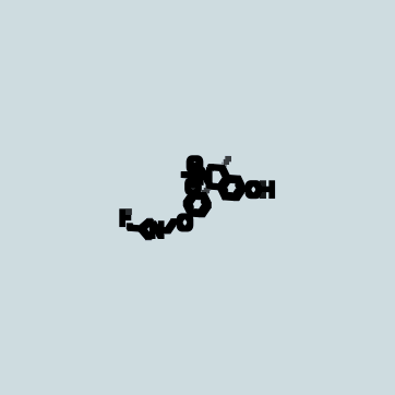 C[C@H]1CN(S(C)(=O)=O)[C@@H](c2ccc(OCCN3CC(CF)C3)cc2)c2ccc(O)cc21